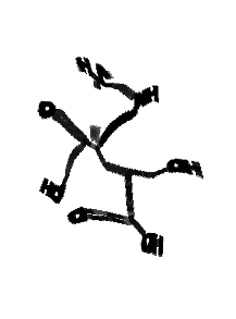 CN[C@H](C(=O)O)C(O)C(=O)O